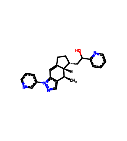 C[C@H]1c2cnn(-c3cccnc3)c2C=C2CC[C@H](CC(O)c3ccccn3)[C@@H]21